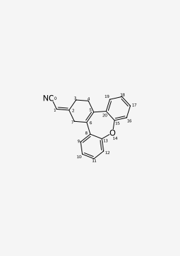 N#CC=C1CCC2=C(C1)c1ccccc1Oc1ccccc12